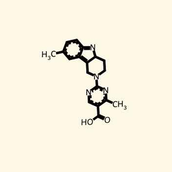 Cc1ccc2c(c1)=C1CN(c3ncc(C(=O)O)c(C)n3)CCC1N=2